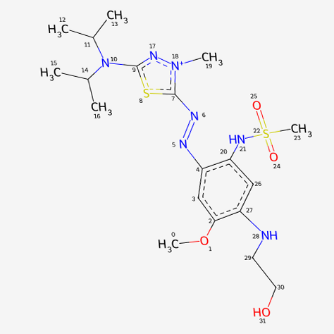 COc1cc(/N=N/c2sc(N(C(C)C)C(C)C)n[n+]2C)c(NS(C)(=O)=O)cc1NCCO